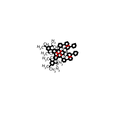 CC(C)c1cc(C(C)C)c(-c2ccc3c(c2)-c2cc(-c4c(C(C)C)cc(C(C)C)cc4C(C)C)ccc2C3c2cc3c4c(c2)N(c2c(-c5ccccc5)cccc2-c2ccccc2)c2ccc(-c5ccccc5)cc2B4c2cc(-c4ccccc4)ccc2N3c2c(-c3ccccc3)cccc2-c2ccccc2)c(C(C)C)c1